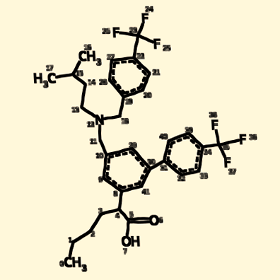 CCCCC(C(=O)O)c1cc(CN(CCC(C)C)Cc2ccc(C(F)(F)F)cc2)cc(-c2ccc(C(F)(F)F)cc2)c1